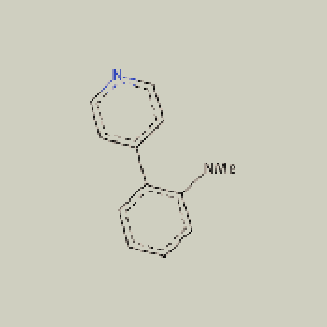 CNc1ccccc1-c1ccncc1